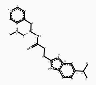 CNC[C@H](Cc1ccncc1)NC(=O)CCc1nc2ccc(C(C)C)cc2s1